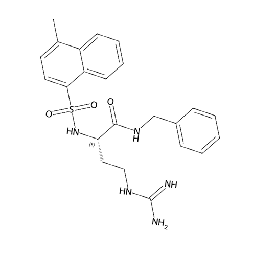 Cc1ccc(S(=O)(=O)N[C@@H](CCNC(=N)N)C(=O)NCc2ccccc2)c2ccccc12